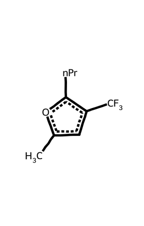 CCCc1oc(C)cc1C(F)(F)F